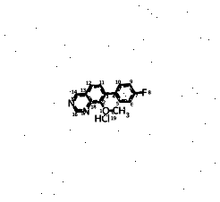 COc1c(-c2ccc(F)cc2)ccc2cncnc12.Cl